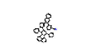 N#Cc1cccc(-c2cc3ccccc3cc2-c2cccc(-c3cc(-c4ccccc4)c4c(c3-c3ccccc3)-c3cccc5cccc-4c35)c2)c1